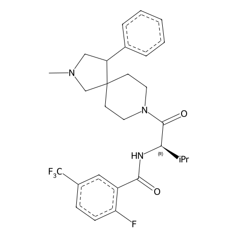 CC(C)[C@@H](NC(=O)c1cc(C(F)(F)F)ccc1F)C(=O)N1CCC2(CC1)CN(C)CC2c1ccccc1